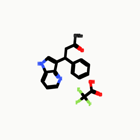 COC(=O)CC(c1ccccc1)c1c[nH]c2cccnc12.O=C(O)C(F)(F)F